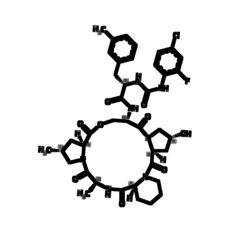 Cc1cccc(C[C@H](NC(=O)Nc2ccc(Cl)cc2F)C(=O)N[C@H]2COC(=O)[C@@H]3C[C@@H](C)CN3C(=O)[C@H](C)NC(=O)[C@@H]3CCCCN3C(=O)[C@@H]3C[C@@H](O)CN3C2=O)c1